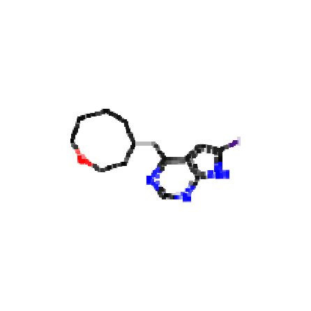 Ic1cc2c(CC3CCCCOCC3)ncnc2[nH]1